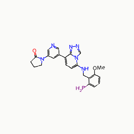 COc1cccc(P)c1CNc1ccc(-c2cncc(N3CCCC3=O)c2)c2nncn12